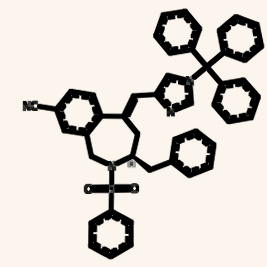 N#Cc1ccc2c(c1)CN(S(=O)(=O)c1ccccc1)[C@H](Cc1ccccc1)CC2=Cc1cn(C(c2ccccc2)(c2ccccc2)c2ccccc2)cn1